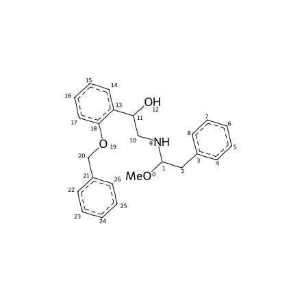 COC(Cc1ccccc1)NCC(O)c1ccccc1OCc1ccccc1